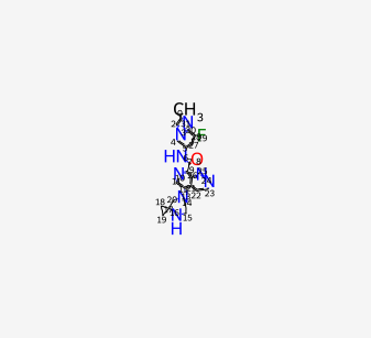 Cc1cn2cc(NC(=O)c3ncc(N4CCNC5(CC5)C4)c4ccnnc34)cc(F)c2n1